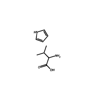 CC(C)C(N)C(=O)O.c1cc[nH]c1